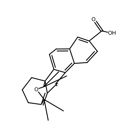 CC1(C)OC(C)(C)C23CCCC1=C2C=Cc1c3ccc2cc(C(=O)O)ccc12